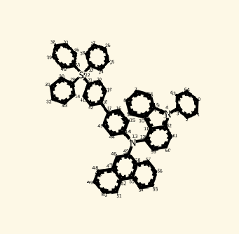 c1ccc(-n2c3ccccc3c3c(N(c4ccc(-c5ccc([Si](c6ccccc6)(c6ccccc6)c6ccccc6)cc5)cc4)c4cc5ccccc5c5ccccc45)cccc32)cc1